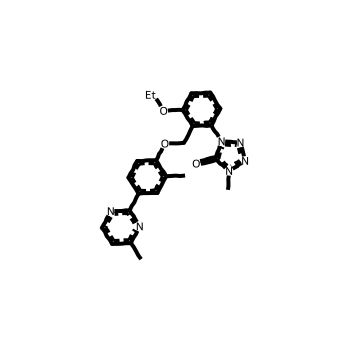 CCOc1cccc(-n2nnn(C)c2=O)c1COc1ccc(-c2nccc(C)n2)cc1C